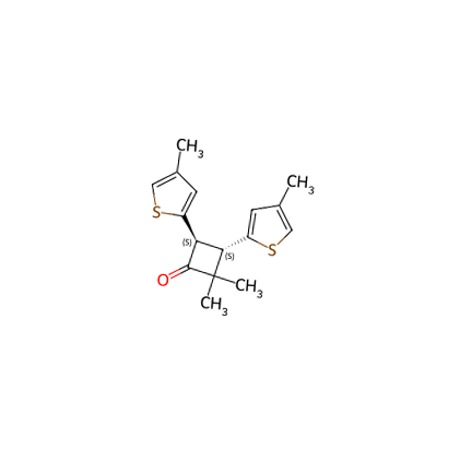 Cc1csc([C@@H]2C(=O)C(C)(C)[C@H]2c2cc(C)cs2)c1